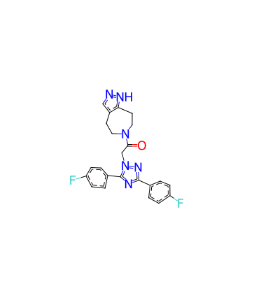 O=C(Cn1nc(-c2ccc(F)cc2)nc1-c1ccc(F)cc1)N1CCc2cn[nH]c2CC1